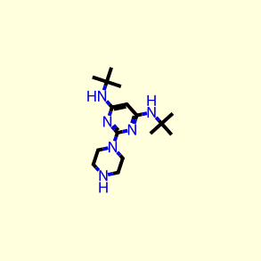 CC(C)(C)Nc1cc(NC(C)(C)C)nc(N2CCNCC2)n1